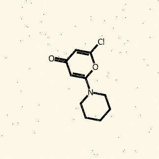 O=c1cc(Cl)oc(N2CCCCC2)c1